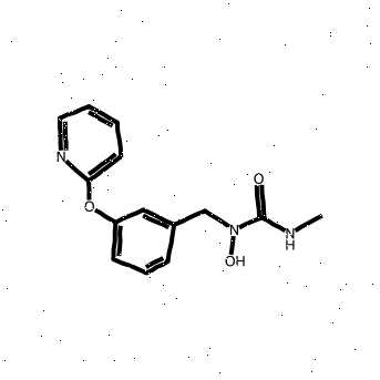 CNC(=O)N(O)Cc1cccc(Oc2ccccn2)c1